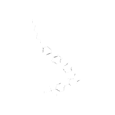 CCCCCCCOc1ccc(-c2ncc(-c3ccc(C[C@H](NC(=O)c4ccc(C(C)(C)C)cc4)C(=O)O)cc3)nn2)cc1